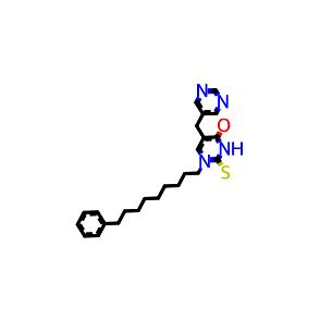 O=c1[nH]c(=S)n(CCCCCCCCCc2ccccc2)cc1Cc1cncnc1